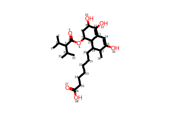 CC(C)C(C(=O)OC1CC(O)C(O)=C2C=C(O)C(C)C(CCCCCCC(=O)O)C21)C(C)C